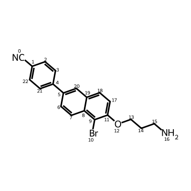 N#Cc1ccc(-c2ccc3c(Br)c(OCCCN)ccc3c2)cc1